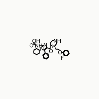 O=C(O)N[C@H]1CCCC[C@@H]1n1cnc(C(=O)N2CCNC[C@H]2CCOc2ccccc2F)c1-c1ccccc1